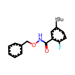 CC(C)(C)c1ccc(F)c(C(=O)NOCc2ccccc2)c1